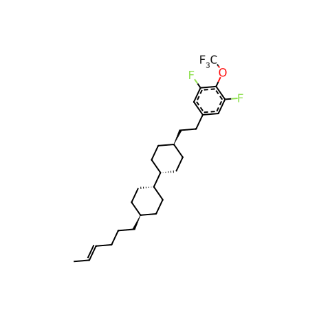 C/C=C/CCC[C@H]1CC[C@H]([C@H]2CC[C@H](CCc3cc(F)c(OC(F)(F)F)c(F)c3)CC2)CC1